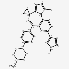 Cc1nnc2n1-c1ccc(-c3cnn(C)c3)cc1C(c1ccc(N3CCN(C(=O)O)CC3)cc1)=NC21CC1